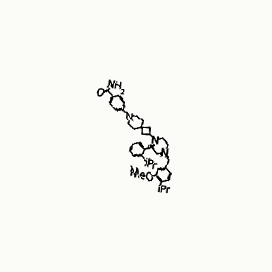 COc1cc(CN2CCN(C3CC4(CCN(c5ccc(C(N)=O)cc5)CC4)C3)[C@H](c3ccccc3C(C)C)C2)ccc1C(C)C